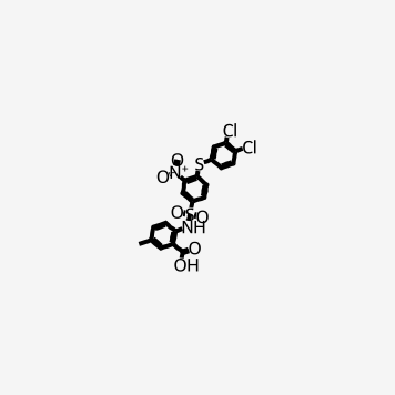 Cc1ccc(NS(=O)(=O)c2ccc(Sc3ccc(Cl)c(Cl)c3)c([N+](=O)[O-])c2)c(C(=O)O)c1